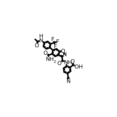 CC(=O)Nc1ccc(-c2cc3onc(C(=O)Nc4ccc(C#N)cc4C(=O)O)c3cc2C(N)=O)c(C(F)(F)F)c1